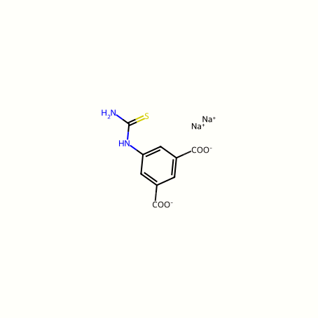 NC(=S)Nc1cc(C(=O)[O-])cc(C(=O)[O-])c1.[Na+].[Na+]